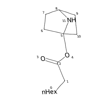 CCCCCCCC(=O)OC12CCC(CC1)N2